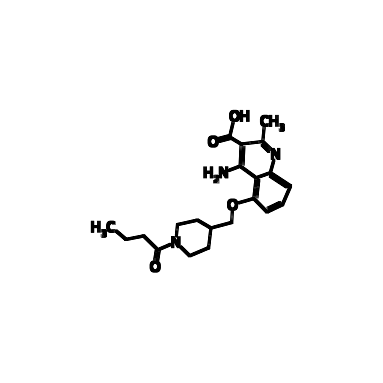 CCCC(=O)N1CCC(COc2cccc3nc(C)c(C(=O)O)c(N)c23)CC1